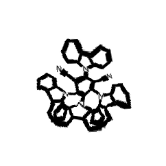 N#Cc1c(-n2c3ccccc3c3ccccc32)c(C#N)c(-n2c3ccccc3c3ccccc32)c(N2c3ccccc3C3C=CC=CC32)c1-n1c2ccccc2c2ccccc21